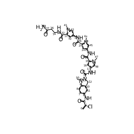 C=C(Cl)C(=O)Nc1ccc2c(c1)CN(C(=O)Nc1cc(C(=O)Nc3cc(C(=O)Nc4cc(C(=O)NCCC(N)=O)n(C)c4)n(C)c3)n(C)c1)N2C